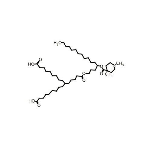 CCCCCCCCCCCCC(CCCOC(=O)CCCCC(CCCCCCCCC(=O)O)CCCCCCCCC(=O)O)OC(=O)C1(C)CCN(C)CC1